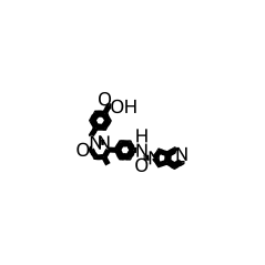 CC1CC(=O)N(Cc2ccc(C(=O)O)cc2)N=C1c1ccc(NC(=O)N2Cc3ccncc3C2)cc1